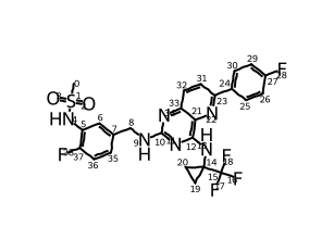 CS(=O)(=O)Nc1cc(CNc2nc(NC3(C(F)(F)F)CC3)c3nc(-c4ccc(F)cc4)ccc3n2)ccc1F